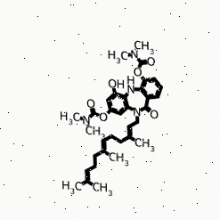 CC(C)=CCC/C(C)=C/CC/C(C)=C/CN1C(=O)c2cccc(OC(=O)N(C)C)c2Nc2c(O)cc(OC(=O)N(C)C)cc21